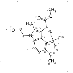 COC(=O)Cc1c(C)n(CCO)c2ccc(OC)c(C(F)(F)F)c12